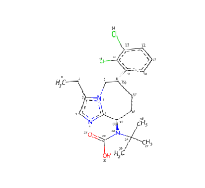 CCc1cnc2n1C[C@H](c1cccc(Cl)c1Cl)CC[C@H]2N(C(=O)O)C(C)(C)C